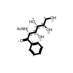 CC(=O)N[C@@H](C(=O)c1ccccc1)[C@@H](O)[C@H](O)[C@H](O)CO